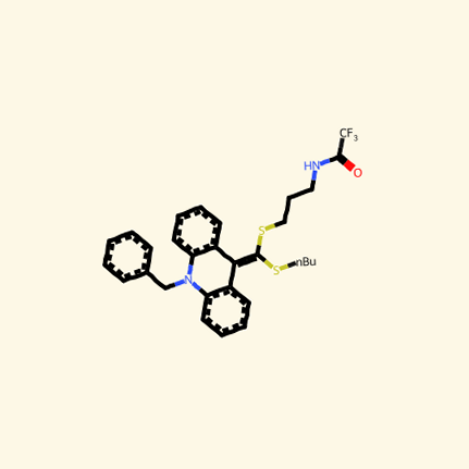 CCCCSC(SCCCNC(=O)C(F)(F)F)=C1c2ccccc2N(Cc2ccccc2)c2ccccc21